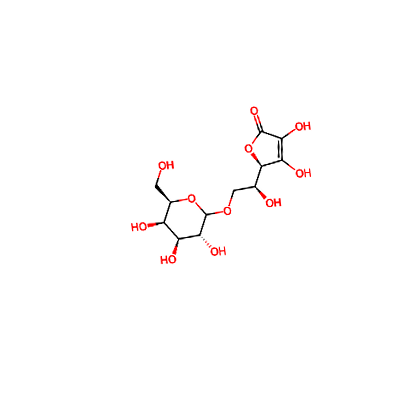 O=C1O[C@H]([C@@H](O)COC2O[C@H](CO)[C@H](O)[C@H](O)[C@H]2O)C(O)=C1O